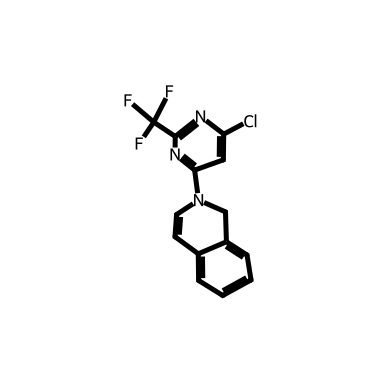 FC(F)(F)c1nc(Cl)cc(N2C=Cc3ccccc3C2)n1